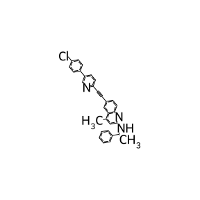 Cc1cc(NC(C)c2ccccc2)nc2ccc(C#Cc3ccc(-c4ccc(Cl)cc4)cn3)cc12